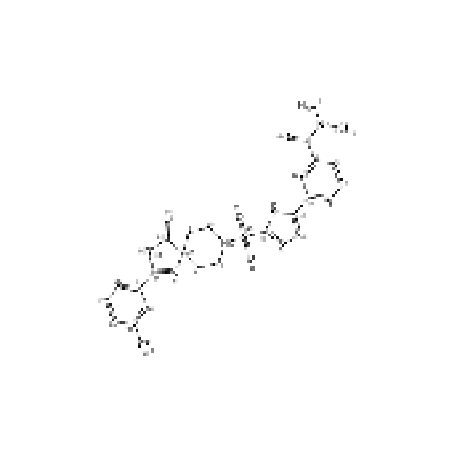 CN(C)C(=O)c1cccc(-c2ccc(S(=O)(=O)N3CCC4(CC3)N=C(c3cccc(C(F)(F)F)c3)NC4=O)s2)c1